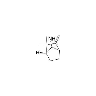 C=C1C2CC[C@@H](C2N)C1(C)C